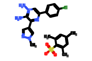 Cc1cc(C)c(S(=O)(=O)[O-])c(C)c1.Cn1cc(-c2nc(-c3ccc(Cl)cc3)c[n+](N)c2N)cn1